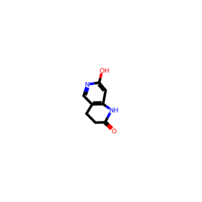 O=C1CCc2cnc(O)cc2N1